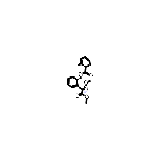 CO/N=C(/C(=O)OC)c1ccccc1COC(=O)c1ccccc1C